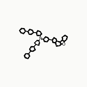 C1=CC(c2ccc(-c3ccccc3)cc2)CC=C1N(c1ccc(-c2ccc3c(ccc4oc5ccccc5c43)c2)cc1)c1cccc(-c2ccc(-c3ccccc3)cc2)c1